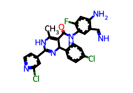 CC1=C(C(=O)Nc2cc(C=N)c(N)cc2F)C(c2ccc(Cl)cc2)N=C(c2ccnc(Cl)c2)N1